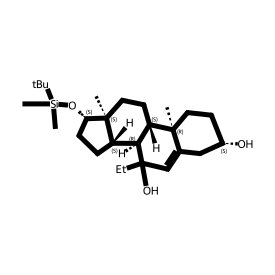 CCC1(O)C=C2C[C@@H](O)CC[C@]2(C)[C@H]2CC[C@]3(C)[C@@H](O[Si](C)(C)C(C)(C)C)CC[C@H]3[C@@H]21